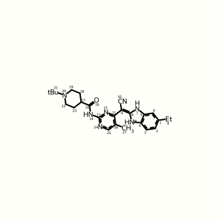 CCc1ccc2c(c1)N/C(=C(\C#N)c1nc(NC(=O)C3CCN(C(C)(C)C)CC3)ncc1C)N2